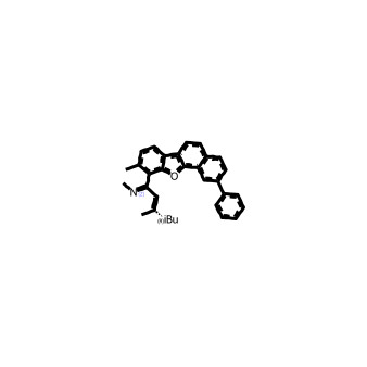 CC[C@@H](C)C(C)=C/C(=N/C)c1c(C)ccc2c1oc1c3cc(-c4ccccc4)ccc3ccc21